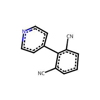 N#Cc1cccc(C#N)c1-c1c[c]ncc1